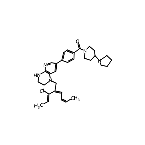 C\C=C/C=C(CN1CCNc2ncc(-c3ccc(C(=O)N4CCC(N5CCCC5)CC4)cc3)cc21)\C(Cl)=C\C